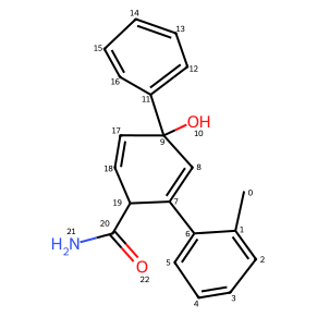 Cc1ccccc1C1=CC(O)(c2ccccc2)C=CC1C(N)=O